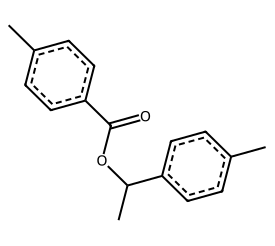 Cc1ccc(C(=O)OC(C)c2ccc(C)cc2)cc1